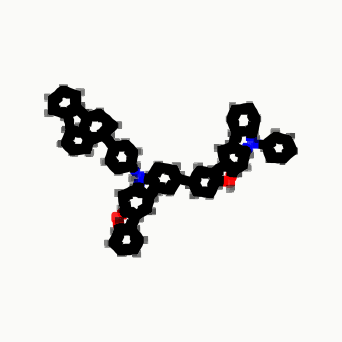 c1ccc(-n2c3ccccc3c3cc4c(cc32)oc2ccc(-c3ccc5c(c3)c3cc6c(cc3n5-c3ccc(-c5ccc7c8c(cccc58)-c5ccccc5-7)cc3)oc3ccccc36)cc24)cc1